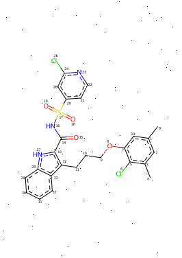 Cc1cc(C)c(Cl)c(OCCCc2c(C(=O)NS(=O)(=O)c3ccnc(Cl)c3)[nH]c3ccccc23)c1